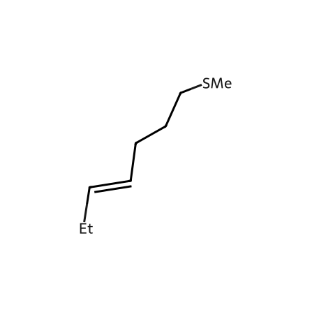 [CH2]CC=CCCCSC